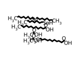 CC(=O)O.CC(=O)O.CCCCCCCCCCCC(=O)O.CCCCCCCCCCCC(=O)O.CCCCCCC[CH2][SnH].CCCCCCC[CH2][Sn][CH2]CCCCCCC